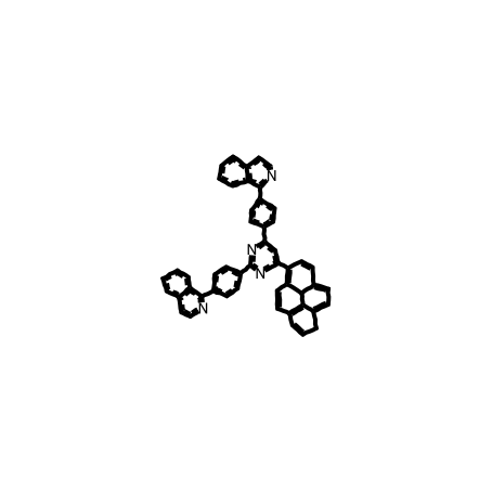 C1=CC2=C3C(=CC=C4C=CC(c5cc(-c6ccc(-c7nccc8ccccc78)cc6)nc(-c6ccc(-c7nccc8ccccc78)cc6)n5)=C(C=C2)C43)C1